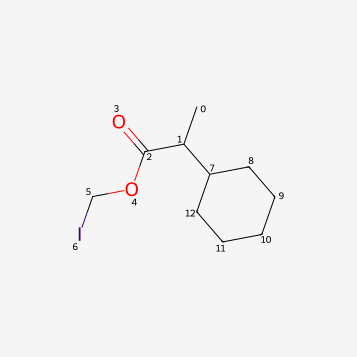 CC(C(=O)OCI)C1CCCCC1